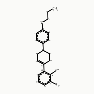 CCCOc1ccc(C2CC=C(c3cccc(F)c3F)CC2)cc1